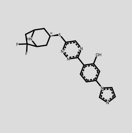 Oc1cc(-n2ccnc2)ccc1-c1ncc(S[C@@H]2CC3CC(F)(F)C(C2)N3)nn1